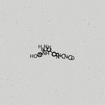 Nc1ncc(-c2ccc3nn(C4CCN(C5CCOCC5)CC4)cc3c2)cc1C(=O)NC12CCC(O)(CC1)CC2